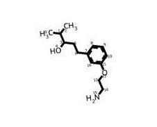 CC(C)C(O)CCc1cccc(OCCN)c1